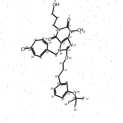 Cn1c(=O)n(CCCO)c(=O)c2c1nc(OCCCc1cccc(OC(F)(F)F)c1)n2CC1=CC=C(Cl)CC=C1